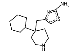 Nc1nc(CC2(C3CCCCC3)CCNCC2)cs1